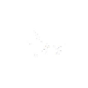 COc1ccc(S(=O)(=O)N(CCNc2cc(C)nc3ccc(Cl)cc23)CCC(=O)Nc2ccc(N=O)cc2OCC(N)=O)cc1